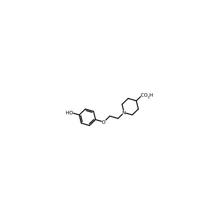 O=C(O)C1CCN(CCOc2ccc(O)cc2)CC1